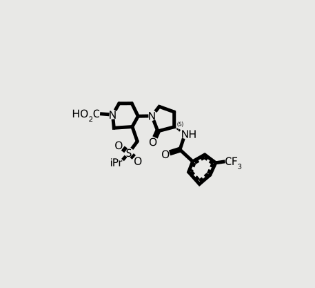 CC(C)S(=O)(=O)CC1CN(C(=O)O)CCC1N1CC[C@H](NC(=O)c2cccc(C(F)(F)F)c2)C1=O